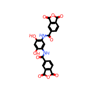 O=C(Nc1cc(NC(=O)c2ccc3c(c2)C(=O)OC3=O)c(O)cc1O)c1ccc2c(c1)C(=O)OC2=O